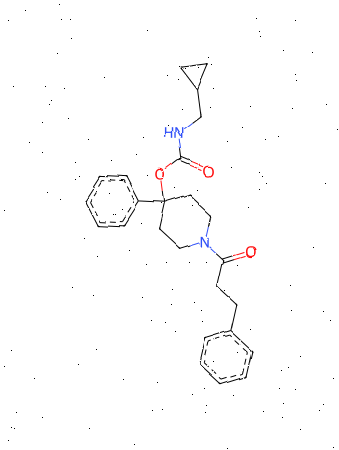 O=C(NCC1CC1)OC1(c2ccccc2)CCN(C(=O)CCc2ccccc2)CC1